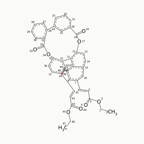 CCOC(=O)/C=C/c1ccc2c3c(ccc2c1)OC(=O)c1cccc(c1)-c1ccccc1C(=O)Oc1ccc2cc(/C=C/C(=O)OCC)ccc2c1-3